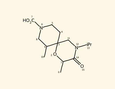 CC1OC2(CCN(C(=O)O)CC2C)CN(C(C)C)C1=O